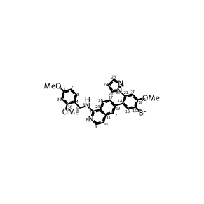 COc1ccc(CNc2nccc3cc(-c4cc(Br)c(OC)cc4-n4cccn4)ccc23)c(OC)c1